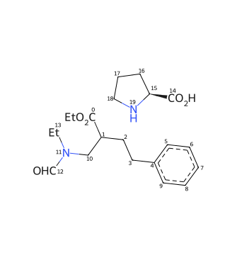 CCOC(=O)C(CCc1ccccc1)CN(C=O)CC.O=C(O)[C@@H]1CCCN1